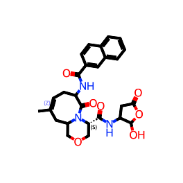 C/C1=C/CC(NC(=O)c2ccc3ccccc3c2)C(=O)N2C(COC[C@H]2C(=O)NC2CC(=O)OC2O)C1